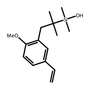 C=Cc1ccc(OC)c(CC(C)(C)[Si](C)(C)O)c1